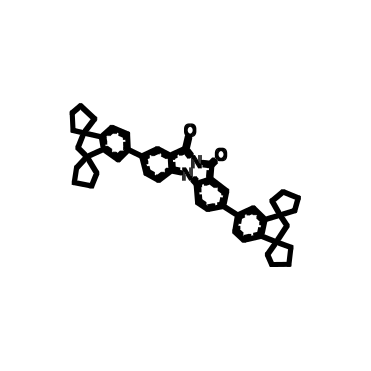 O=c1c2cc(-c3ccc4c(c3)C3(CCCC3)CC43CCCC3)ccc2n2c3ccc(-c4ccc5c(c4)C4(CCCC4)CC54CCCC4)cc3c(=O)n12